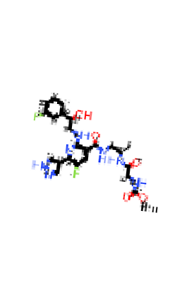 C[C@H](CNC(=O)c1cc(F)c(-c2cn[nH]c2)nc1NCC(O)c1cccc(F)c1)NC(=O)CNC(=O)OC(C)(C)C